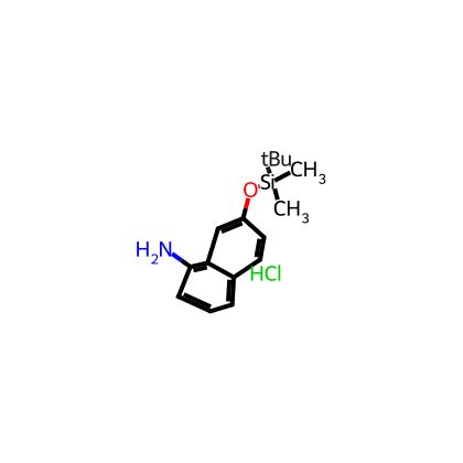 CC(C)(C)[Si](C)(C)Oc1ccc2cccc(N)c2c1.Cl